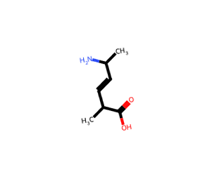 CC(N)/C=C/C(C)C(=O)O